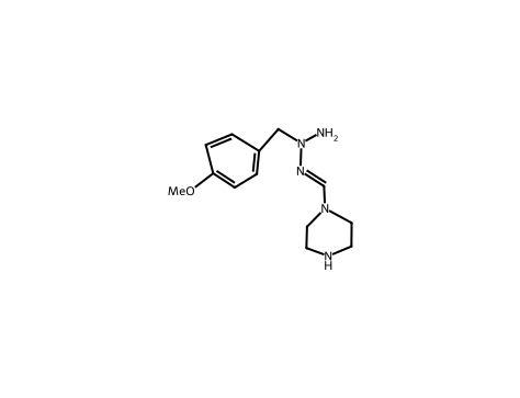 COc1ccc(CN(N)N=CN2CCNCC2)cc1